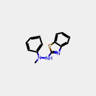 CN(Nc1nc2ccccc2s1)c1ccccc1